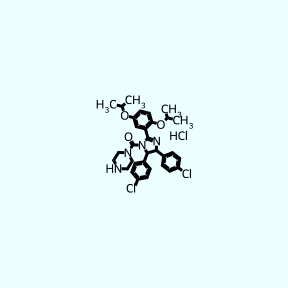 CC(C)Oc1ccc(OC(C)C)c(C2=NC(c3ccc(Cl)cc3)C(c3ccc(Cl)cc3)N2C(=O)N2CCNCC2)c1.Cl